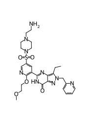 CCc1c2nc(-c3cc(S(=O)(=O)N4CCN(CCN)CC4)cnc3OCCOC)[nH]c(=O)c2nn1Cc1ccccn1